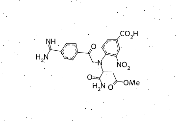 COC(=O)CC(C(N)=O)N(CC(=O)c1ccc(C(=N)N)cc1)c1ccc(C(=O)O)cc1[N+](=O)[O-]